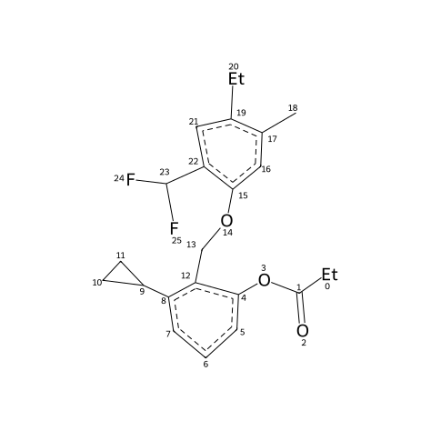 CCC(=O)Oc1cccc(C2CC2)c1COc1cc(C)c(CC)cc1C(F)F